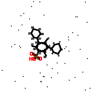 Cc1c(C2CCCCC2)c(C)c(S(=O)(=O)O)c(C)c1C1CCCCC1